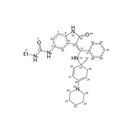 CCNC(=O)Nc1ccc2c(c1)C(=C(NC1(C)C=CC(N3CCCCC3)=CC1)c1ccccc1)C(=O)N2